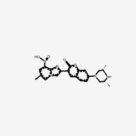 Cc1cc([N+](=O)O)c2nc(-c3cc4ccc(N5C[C@@H](C)N[C@@H](C)C5)cc4oc3=O)cn2c1